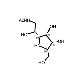 CC(=O)NCC(O)[C@H]1N[C@H](CO)[C@@H](O)[C@@H]1O